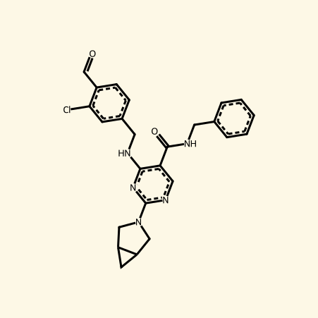 O=Cc1ccc(CNc2nc(N3CC4CC4C3)ncc2C(=O)NCc2ccccc2)cc1Cl